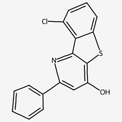 Oc1cc(-c2ccccc2)nc2c1sc1cccc(Cl)c12